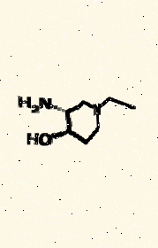 CCN1CC[C@@H](O)[C@H](N)C1